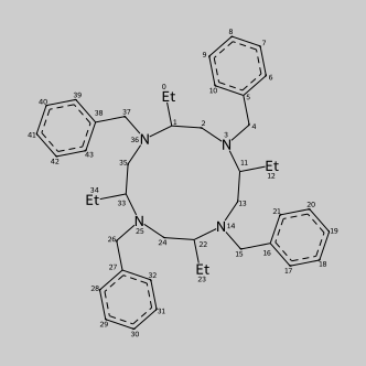 CCC1CN(Cc2ccccc2)C(CC)CN(Cc2ccccc2)C(CC)CN(Cc2ccccc2)C(CC)CN1Cc1ccccc1